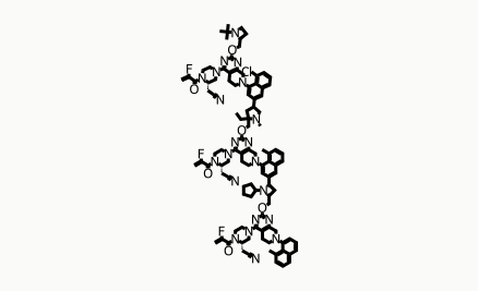 C=C(F)C(=O)N1CCN(c2nc(OCC3CC(c4cc(N5CCc6c(nc(OCC7(CC)CC(c8cc(N9CCc%10c(nc(OCC%11CCN%11C(C)(C)C)nc%10N%10CCN(C(=O)C(=C)F)[C@@H](CC#N)C%10)C9)c9c(Cl)cccc9c8)CN7C)nc6N6CCN(C(=O)C(=C)F)[C@@H](CC#N)C6)C5)c5c(C)cccc5c4)N3C3CCCC3)nc3c2CCN(c2cccc4cccc(C)c24)C3)C[C@@H]1CC#N